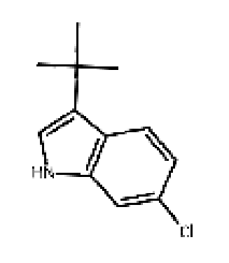 CC(C)(C)c1c[nH]c2cc(Cl)ccc12